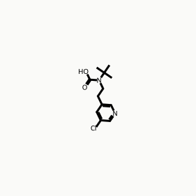 CC(C)(C)N(CCc1cncc(Cl)c1)C(=O)O